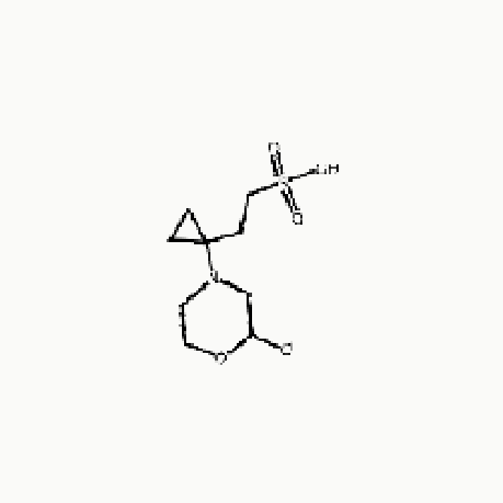 O=S(=O)(O)CCC1(N2CCOC(Cl)C2)CC1